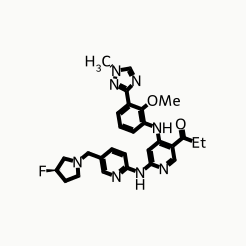 CCC(=O)c1cnc(Nc2ccc(CN3CC[C@@H](F)C3)cn2)cc1Nc1cccc(-c2ncn(C)n2)c1OC